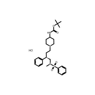 CN(C[C@H](CCN1CCC(NC(=O)OC(C)(C)C)CC1)c1ccccc1)S(=O)(=O)c1ccccc1.Cl